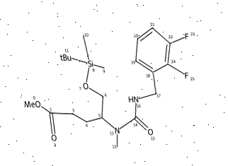 COC(=O)CCC(CO[Si](C)(C)C(C)(C)C)N(C)C(=O)NCc1cccc(F)c1F